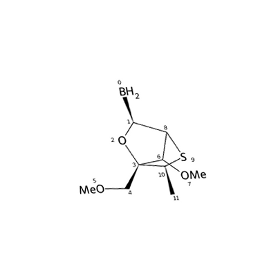 B[C@@H]1O[C@]2(COC)C(OC)C1S[C@H]2C